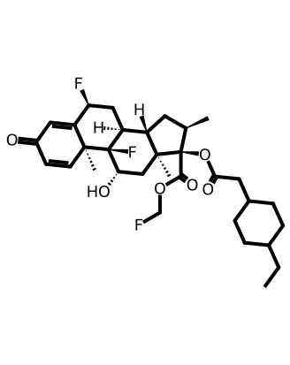 CCC1CCC(CC(=O)O[C@]2(C(=O)OCF)[C@H](C)C[C@H]3[C@@H]4C[C@H](F)C5=CC(=O)C=C[C@]5(C)[C@@]4(F)[C@@H](O)C[C@@]32C)CC1